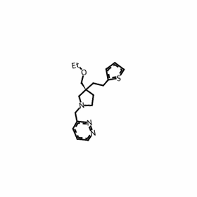 CCOC[C@@]1(CCc2cccs2)CCN(Cc2cccnn2)C1